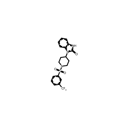 O=c1[nH]c2ccccc2n1C1CCN(S(=O)(=O)c2cccc(C(F)(F)F)c2)CC1